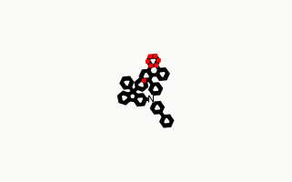 c1ccc(-c2ccc(N(c3cccc(-c4cccc(-c5ccccc5)c4-c4ccccc4-c4ccccc4)c3)c3ccc4c(c3)C(c3ccccc3)(c3ccccc3)c3ccccc3-4)cc2)cc1